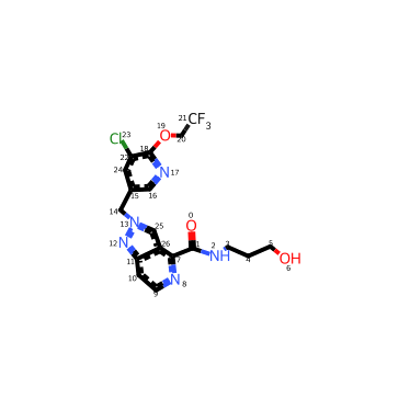 O=C(NCCCO)c1nccc2nn(Cc3cnc(OCC(F)(F)F)c(Cl)c3)cc12